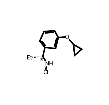 CC[C@@H](NCl)c1cccc(OC2CC2)c1